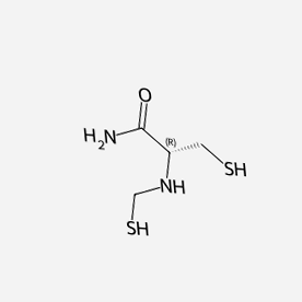 NC(=O)[C@H](CS)NCS